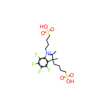 CC1=[N+](CCCCS(=O)(=O)O)c2c(F)c(F)c(F)c(F)c2C1(C)CCCCS(=O)(=O)O